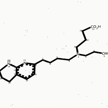 COCCN(CCCCc1ccc2c(n1)NCCC2)CCCC(=O)O